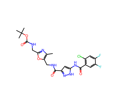 Cc1nc(CNC(=O)OC(C)(C)C)oc1CNC(=O)c1cc(NC(=O)c2cc(F)c(F)cc2Cl)[nH]n1